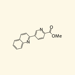 COC(=O)c1ccc(-c2ccc3ccccc3n2)cn1